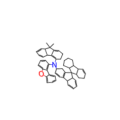 CC1(C)C2=CCCC(N(c3cccc4oc5ccccc5c34)C3C=CC4=C(C3)C3(C5C=CC=CC45)C4CCC=CC4C4CCCCC43)=C2C2C=CC=CC21